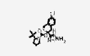 CC(C)(C)C1CCCN1C(=O)OC1(C(=N)NN)Cc2ccc(Cl)cc2C=N1